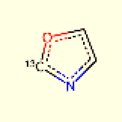 c1co[13cH]n1